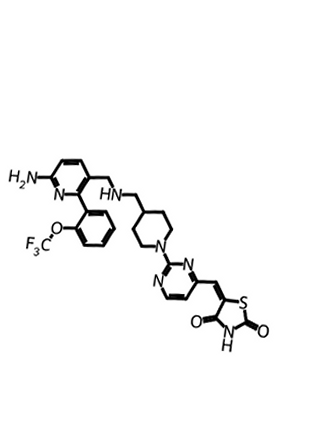 Nc1ccc(CNCC2CCN(c3nccc(C=C4SC(=O)NC4=O)n3)CC2)c(-c2ccccc2OC(F)(F)F)n1